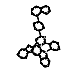 c1ccc(-n2c3ccccc3c3ccccc32)c(-c2nc(-c3ccc(-c4cccc5ccccc45)cc3)cc(-c3cc4ccccc4s3)n2)c1